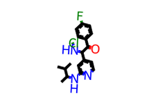 CC(C)C(C)Nc1cc(C(NCl)C(=O)c2ccc(F)cc2)ccn1